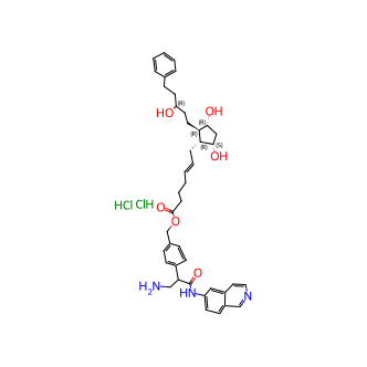 Cl.Cl.NCC(C(=O)Nc1ccc2cnccc2c1)c1ccc(COC(=O)CCCC=CC[C@@H]2[C@@H](CC[C@@H](O)CCc3ccccc3)[C@H](O)C[C@@H]2O)cc1